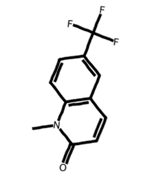 Cn1c(=O)ccc2cc(C(F)(F)F)ccc21